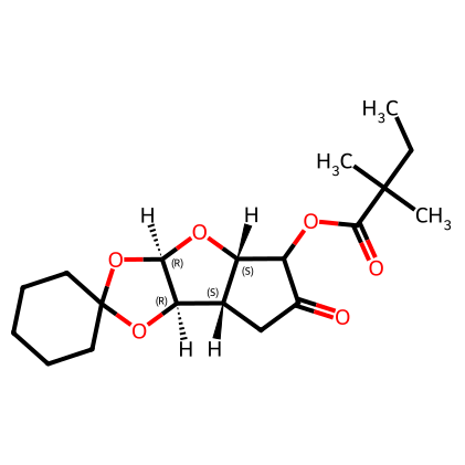 CCC(C)(C)C(=O)OC1C(=O)C[C@@H]2[C@H]3OC4(CCCCC4)O[C@H]3O[C@H]12